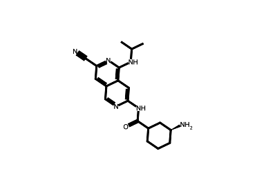 CC(C)Nc1nc(C#N)cc2cnc(NC(=O)C3CCC[C@H](N)C3)cc12